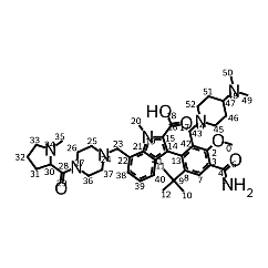 COc1c(C(N)=O)cc(C(C)(C)C)c(-c2c(C(=O)O)n(C)c3c(CN4CCN(C(=O)C5CCCN5C)CC4)cccc23)c1CN1CCC(N(C)C)CC1